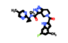 Cc1cnc(C2(N(C)C(=O)c3[nH]nc4c3CN(C(=O)c3cc5c(C)cc(F)cc5[nH]3)CC4)CC2)nc1